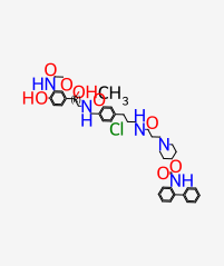 COc1cc(CCCNC(=O)CCN2CCC(OC(=O)Nc3ccccc3-c3ccccc3)CC2)c(Cl)cc1CNC[C@H](O)c1ccc(O)c2c1OCC(=O)N2